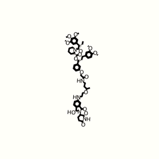 CC[C@H](C(=O)N1CCCC[C@H]1C(=O)O[C@H](CCc1ccc(OC)c(OC)c1)c1cccc(OCC(=O)NCCC(C)OCCNc2ccc3c(c2)C(=O)N(C2CCC(=O)NC2=O)C3O)c1)c1cc(OC)c(OC)c(OC)c1